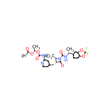 CC(OC(=O)Nc1cc(C[C@H]2C(=O)N(C(=O)N[C@H](C)c3ccc4c(c3)OC(F)(F)O4)[C@@H]2C(=O)O)ccn1)OC(=O)C(C)C